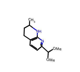 COC(OC)c1ccc2c(n1)NC(C)CC2